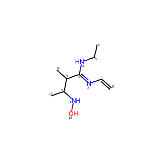 C=C/N=C(\NCC)C(C)C(C)NO